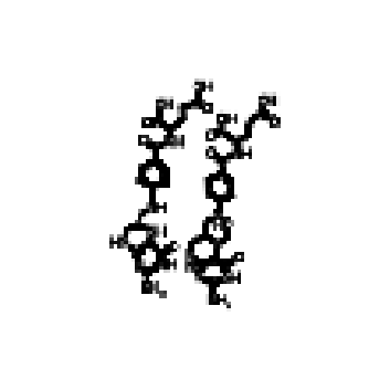 Nc1nc2c(c(=O)[nH]1)N(C=O)C(CNc1ccc(C(=O)NC(CCC(=O)O)C(=O)O)cc1)CN2.Nc1nc2c(c(=O)[nH]1)N[C@@H](CNc1ccc(C(=O)NC(CCC(=O)O)C(=O)O)cc1)CN2